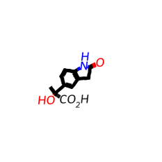 CC(O)(C(=O)O)c1ccc2c(c1)CC(=O)N2